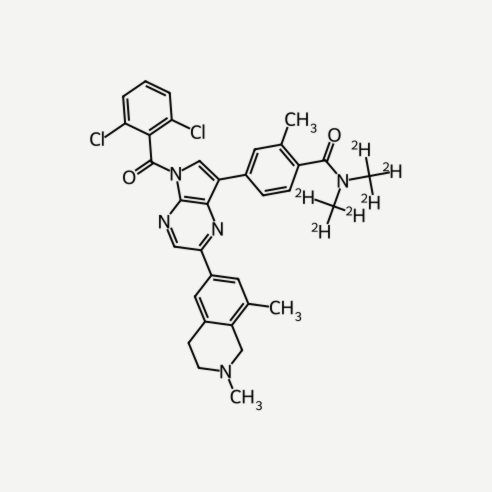 [2H]C([2H])([2H])N(C(=O)c1ccc(-c2cn(C(=O)c3c(Cl)cccc3Cl)c3ncc(-c4cc(C)c5c(c4)CCN(C)C5)nc23)cc1C)C([2H])([2H])[2H]